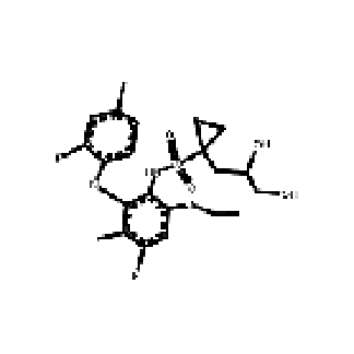 CCOc1cc(F)c(F)c(Nc2ccc(I)cc2F)c1NS(=O)(=O)C1(CC(O)CO)CC1